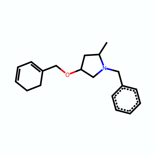 CC1CC(OCC2=CC=CCC2)CN1Cc1ccccc1